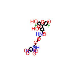 O=C(NCCOCCOCCNc1ccc([N+](=O)[O-])cc1[N+](=O)[O-])c1ccc(-c2c3cc(F)c(=O)cc-3oc3cc(O)c(F)cc23)c(C(=O)O)c1